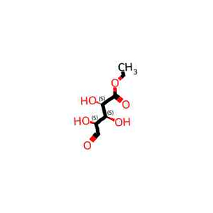 CCOC(=O)[C@@H](O)[C@@H](O)[C@H](O)C=O